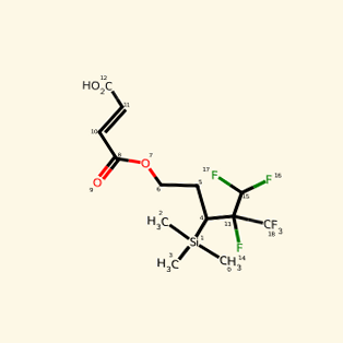 C[Si](C)(C)C(CCOC(=O)C=CC(=O)O)C(F)(C(F)F)C(F)(F)F